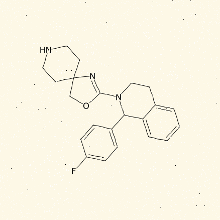 Fc1ccc(C2c3ccccc3CCN2C2=NC3(CCNCC3)CO2)cc1